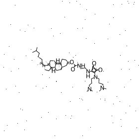 CC(C)CCC[C@@H](C)[C@H]1CC[C@H]2C3CC=C4C[C@@H](OC(=O)NCCNc5c(N(CCCN(C)C)CCCN(C)C)c(=O)c5=O)CC[C@]4(C)[C@H]3CC[C@]12C